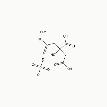 O=C(O)CC(O)(CC(=O)O)C(=O)O.O=S(=O)([O-])[O-].[Fe+2]